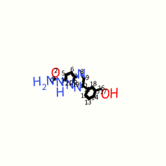 NC(=O)Nc1ccc2ncc(-c3cccc(CO)c3)nc2n1